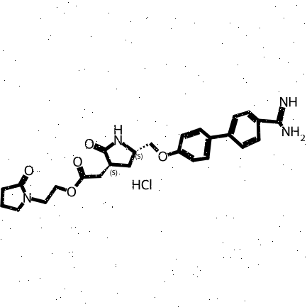 Cl.N=C(N)c1ccc(-c2ccc(OC[C@@H]3C[C@@H](CC(=O)OCCN4CCCC4=O)C(=O)N3)cc2)cc1